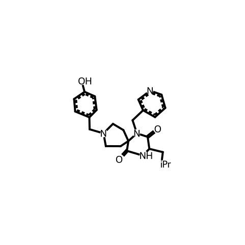 CC(C)CC1NC(=O)C2(CCN(Cc3ccc(O)cc3)CC2)N(Cc2cccnc2)C1=O